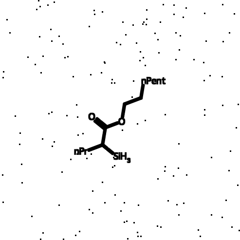 CCCCCCCOC(=O)C([SiH3])CCC